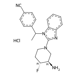 CC(c1ccc(C#N)cc1)n1c(N2CC[C@@H](F)[C@H](N)C2)nc2ccccc21.Cl